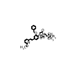 COc1cccc(C=Cc2ccc(N3CC(=O)N(CC[Si](C)(C)C)S3(=O)=O)c(OCc3ccccc3)c2)n1